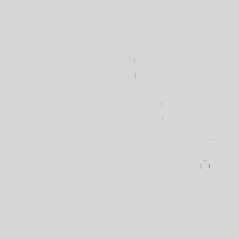 CC(CCCC1CC1)CCCC1CO1